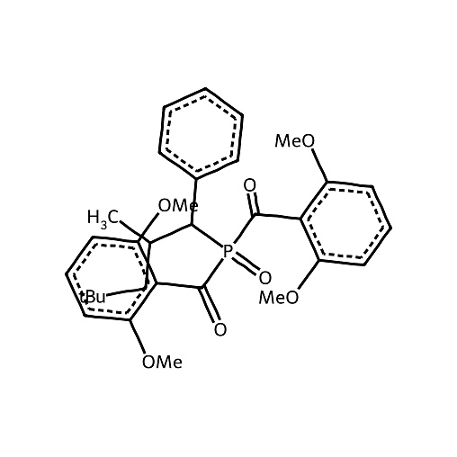 COc1cccc(OC)c1C(=O)P(=O)(C(=O)c1c(OC)cccc1OC)C(c1ccccc1)C(C)CC(C)(C)C